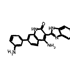 Nc1cccc(-c2ccc3c(N)c(-c4nc5ccccc5[nH]4)c(=O)[nH]c3c2)c1